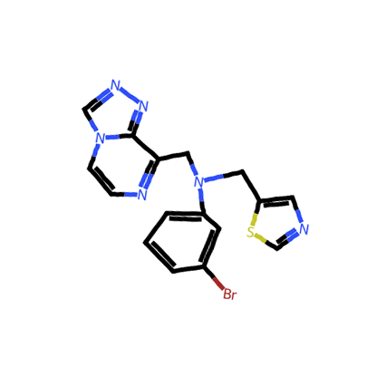 Brc1cccc(N(Cc2cncs2)Cc2nccn3cnnc23)c1